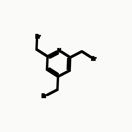 BrCc1cc(CBr)nc(CBr)c1